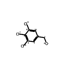 [O]Cc1cc(Cl)c(Cl)c(Cl)c1